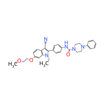 CCn1c(-c2ccc(NC(=O)N3CCN(c4ccccc4)CC3)cc2)c(C#N)c2ccc(OCCOC)cc21